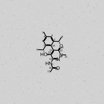 CCc1cc(C)cc(CC)c1-c1c(O)c(NC(C)=O)nn(C)c1=O